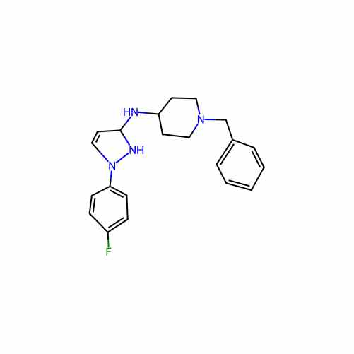 Fc1ccc(N2C=CC(NC3CCN(Cc4ccccc4)CC3)N2)cc1